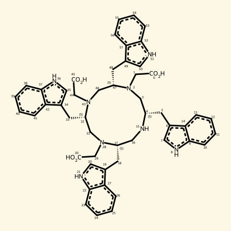 O=C(O)CN1C[C@H](Cc2c[nH]c3ccccc23)NC[C@H](Cc2c[nH]c3ccccc23)N(CC(=O)O)C[C@H](Cc2c[nH]c3ccccc23)N(CC(=O)O)C[C@@H]1Cc1c[nH]c2ccccc12